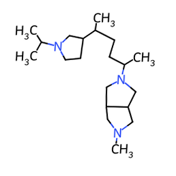 CC(CCC(C)N1CC2CN(C)CC2C1)C1CCN(C(C)C)C1